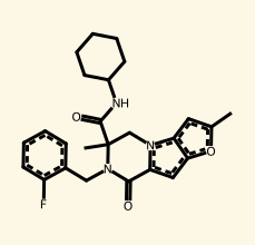 Cc1cc2c(cc3n2CC(C)(C(=O)NC2CCCCC2)N(Cc2ccccc2F)C3=O)o1